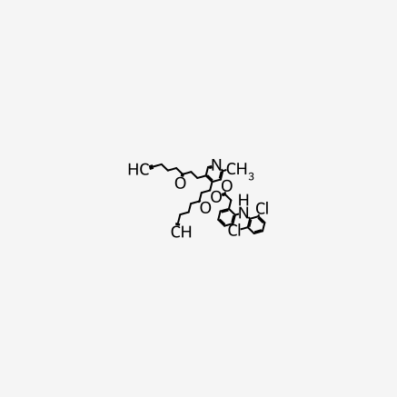 C#CCCCC(=O)CCc1cnc(C)c(OC(=O)Cc2ccccc2Nc2c(Cl)cccc2Cl)c1CCC(=O)CCCC#C